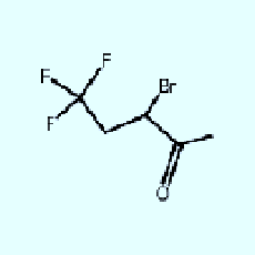 CC(=O)C(Br)CC(F)(F)F